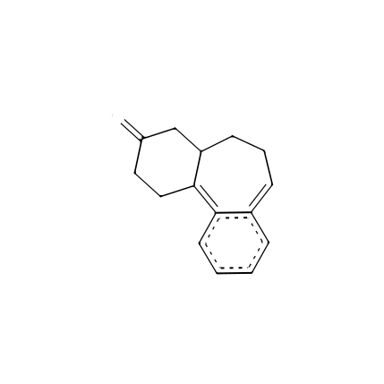 O=C1CCC2=c3ccccc3=CCCC2C1